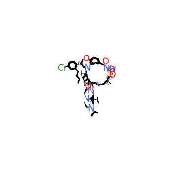 CCCCc1cc(Cl)ccc1[C@@H]1COc2ccc3cc2N(C1)C[C@@H]1CC[C@H]1[C@@](CN1CCN2CCN(C(C)C)C[C@H]2C1)(OC)/C=C/C[C@H](C)[C@@H](C)S(=O)(=O)NC3=O